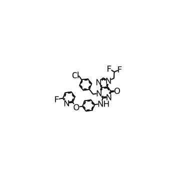 O=c1nc(Nc2ccc(Oc3cccc(F)n3)cc2)n(Cc2ccc(Cl)cc2)c2ncn(CC(F)F)c12